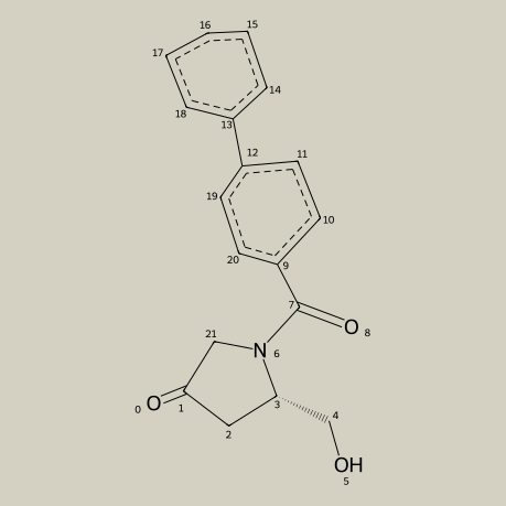 O=C1C[C@@H](CO)N(C(=O)c2ccc(-c3ccccc3)cc2)C1